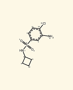 Nc1cc(S(=O)(=O)NC2CCC2)ccc1Cl